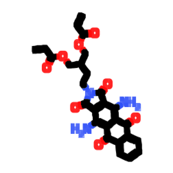 C=CC(=O)OCC(CCn1c(=O)c2c(N)c3c(=O)c4ccccc4c(=O)c3c(N)c2c1=O)COC(=O)C=C